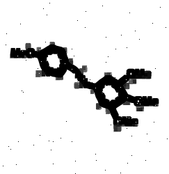 COc1ccc(N=Nc2cc(OC)c(OC)c(OC)c2)cn1